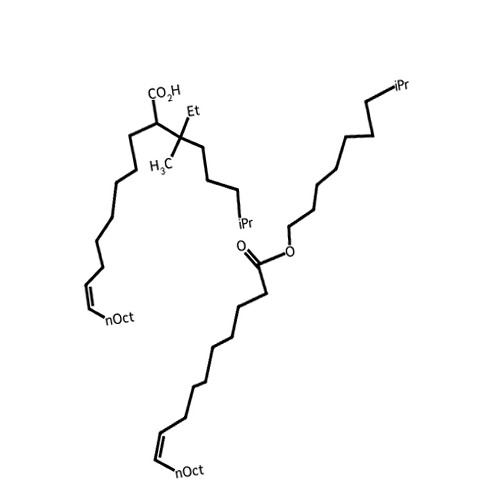 CCCCCCCC/C=C\CCCCCCC(C(=O)O)C(C)(CC)CCCC(C)C.CCCCCCCC/C=C\CCCCCCCC(=O)OCCCCCCCC(C)C